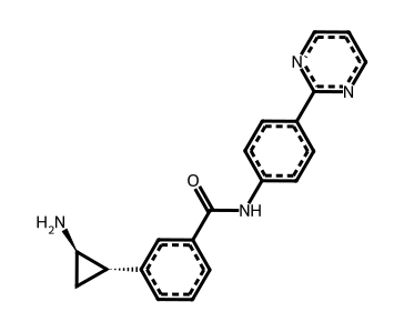 N[C@@H]1C[C@H]1c1cccc(C(=O)Nc2ccc(-c3ncccn3)cc2)c1